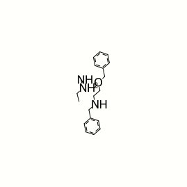 CCNN.c1ccc(CNCCOCc2ccccc2)cc1